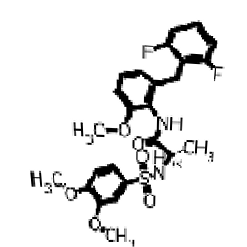 COc1ccc(S(=O)(=O)N[C@@H](C)C(=O)Nc2c(Cc3c(F)cccc3F)cccc2OC)cc1OC